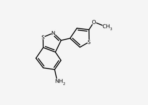 COc1cc(-c2nsc3ccc(N)cc23)cs1